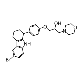 OC(COc1ccc(C2CCCc3c2[nH]c2ccc(Br)cc32)cc1)CN1CCOCC1